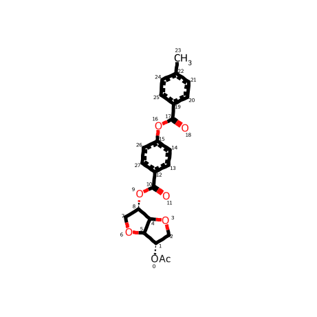 CC(=O)O[C@H]1COC2C1OC[C@@H]2OC(=O)c1ccc(OC(=O)c2ccc(C)cc2)cc1